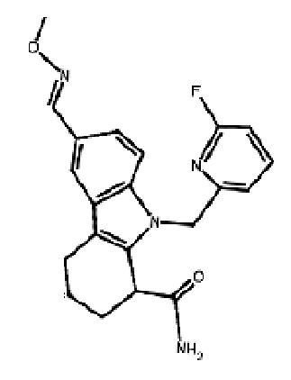 CON=Cc1ccc2c(c1)c1c(n2Cc2cccc(F)n2)C(C(N)=O)C[C]C1